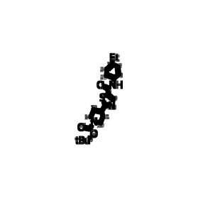 CCc1ccc(NC(=O)c2cnc(C3=CCN(C(=O)OC(C)(C)C)CC3)s2)cc1